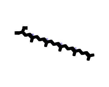 CC(C)=CCC/C(C)=C/CC/C(C)=C/CC/C(C)=C/CC/C(C)=C/CB(O)O